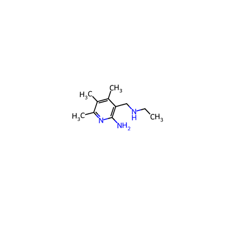 CCNCc1c(N)nc(C)c(C)c1C